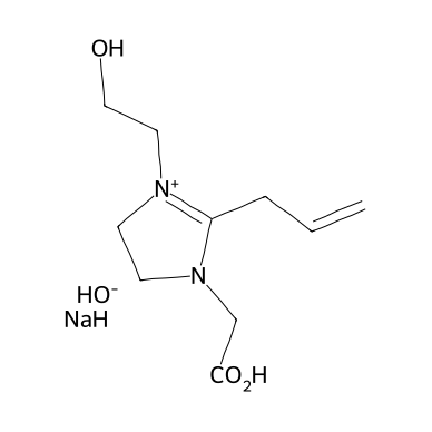 C=CCC1=[N+](CCO)CCN1CC(=O)O.[NaH].[OH-]